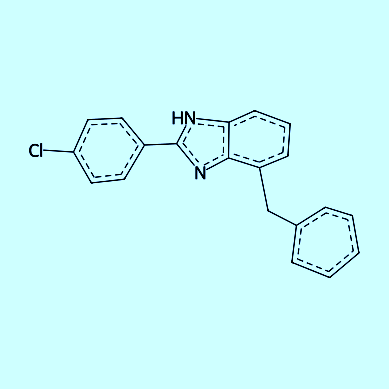 Clc1ccc(-c2nc3c(Cc4ccccc4)cccc3[nH]2)cc1